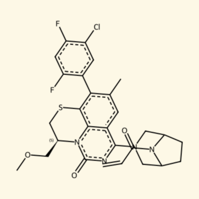 C=CC(=O)N1C2CCC1CN(c1nc(=O)n3c4c(c(-c5cc(Cl)c(F)cc5F)c(C)cc14)SC[C@@H]3COC)C2